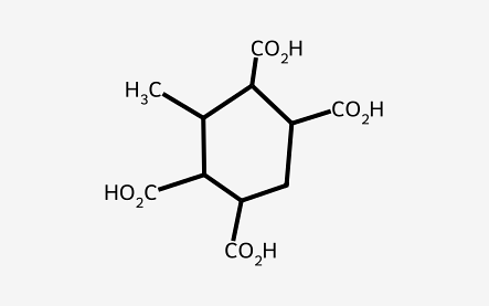 CC1C(C(=O)O)C(C(=O)O)CC(C(=O)O)C1C(=O)O